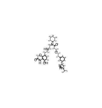 CC(C)n1cc(-c2cccc(CCOCCC(=O)N(CCNCCc3ccc(O)c4c3OCC(=O)N4)C3CCCCC3)c2)nn1